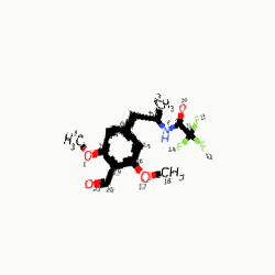 COc1cc(CC(C)NC(=O)C(F)(F)F)cc(OC)c1C=O